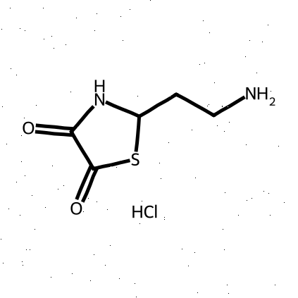 Cl.NCCC1NC(=O)C(=O)S1